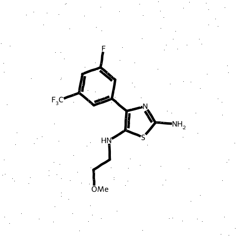 COCCNc1sc(N)nc1-c1cc(F)cc(C(F)(F)F)c1